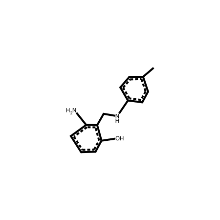 Cc1ccc(NCc2c(N)cccc2O)cc1